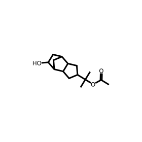 CC(=O)OC(C)(C)C1CC2C3CC(O)C(C3)C2C1